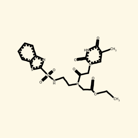 CCOC(=O)CN(CCNS(=O)(=O)c1nc2ccccc2s1)C(=O)Cn1cc(C)c(=O)[nH]c1=O